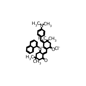 CN(C)c1ccc(/C=C2/c3c(cc4c([n+]3-c3cccc5ccccc35)CC(C)(C)CC4=O)C(=O)CC2(C)C)cc1.[Cl-]